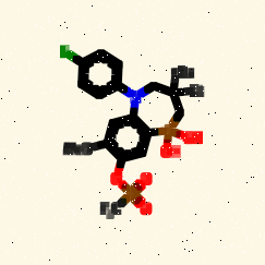 CCCCC1(CC)CN(c2ccc(F)cc2)c2cc(OC)c(OS(=O)(=O)C(F)(F)F)cc2S(O)(O)C1